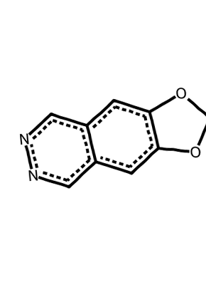 c1nncc2cc3c(cc12)OCO3